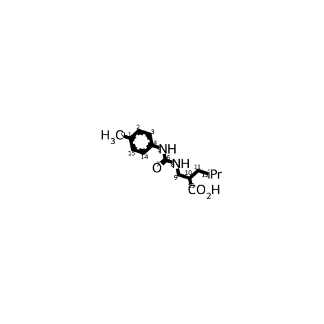 Cc1ccc(NC(=O)NCC(CC(C)C)C(=O)O)cc1